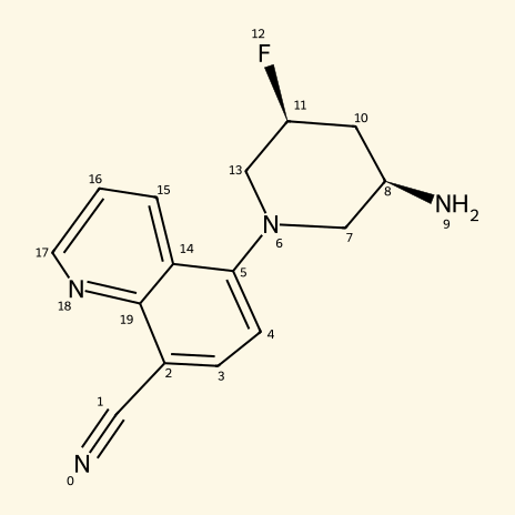 N#Cc1ccc(N2C[C@H](N)C[C@H](F)C2)c2cccnc12